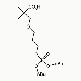 CCCCOP(=O)(OCCCC)OCCCOCC(C)(C)C(=O)O